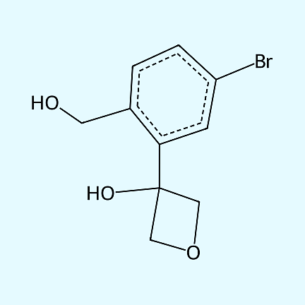 OCc1ccc(Br)cc1C1(O)COC1